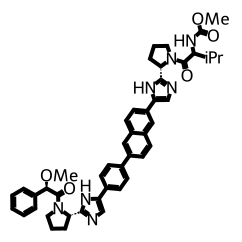 COC(=O)NC(C(=O)N1CCC[C@H]1c1ncc(-c2ccc3cc(-c4ccc(-c5cnc([C@@H]6CCCN6C(=O)[C@H](OC)c6ccccc6)[nH]5)cc4)ccc3c2)[nH]1)C(C)C